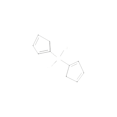 CCC[Si](CC)(C1=CC=CC1)C1=CC=CC1